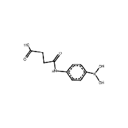 O=C(O)CCC(=O)Nc1ccc(B(O)O)cc1